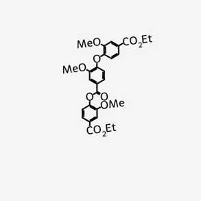 CCOC(=O)c1ccc(OC(=O)c2ccc(Oc3ccc(C(=O)OCC)cc3OC)c(OC)c2)c(OC)c1